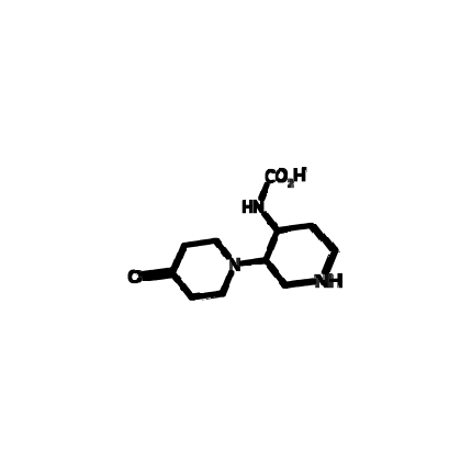 O=C1CCN(C2CNCCC2NC(=O)O)CC1